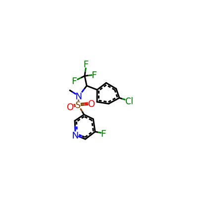 CN(C(c1ccc(Cl)cc1)C(F)(F)F)S(=O)(=O)c1cncc(F)c1